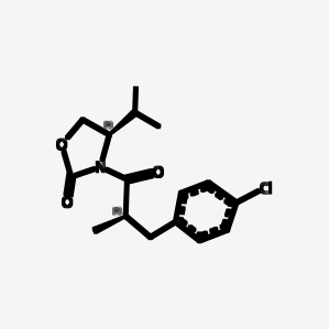 CC(C)[C@@H]1COC(=O)N1C(=O)[C@H](C)Cc1ccc(Cl)cc1